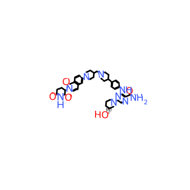 NC(=O)c1ncc(N2CCC[C@@H](CO)C2)nc1Nc1ccc(C2CCN(CC3CCN(c4ccc5c(=O)n(C6CCC(=O)NC6=O)ccc5c4)CC3)CC2)cc1